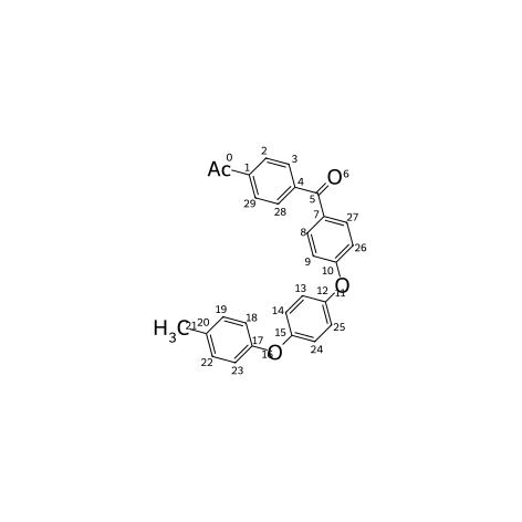 CC(=O)c1ccc(C(=O)c2ccc(Oc3ccc(Oc4ccc(C)cc4)cc3)cc2)cc1